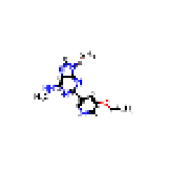 CCOc1cncc(-c2nc(NC)c3ncn(OC)c3n2)c1